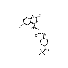 CC(C)(C)NC1CCC(NC(=O)CNc2nc(Cl)nc3ccc(Cl)cc23)CC1